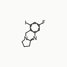 Fc1cc(I)c2c(c1)N=C1CCCN1C2